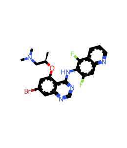 C[C@H](CN(C)C)Oc1cc(Br)cc2ncnc(Nc3c(F)cc4ncccc4c3F)c12